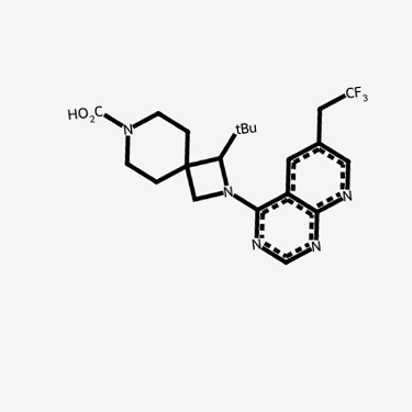 CC(C)(C)C1N(c2ncnc3ncc(CC(F)(F)F)cc23)CC12CCN(C(=O)O)CC2